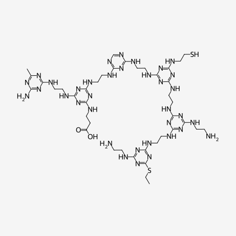 CCSc1nc(NCCN)nc(NCCNc2nc(NCCN)nc(NCCNc3nc(NCCS)nc(NCCNc4ncnc(NCCNc5nc(NCCNc6nc(C)nc(N)n6)nc(NCCC(=O)O)n5)n4)n3)n2)n1